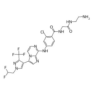 NCCNC(=O)CNC(=O)c1ccc(Nc2nccn3c(-c4cn(CC(F)F)nc4C(F)(F)F)cnc23)cc1Cl